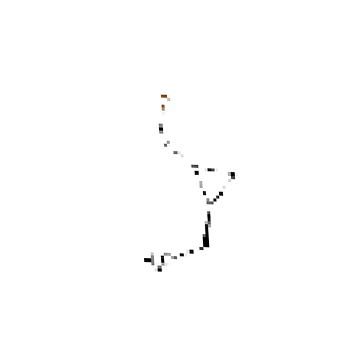 CC[C@@H]1C[C@H]1CBr